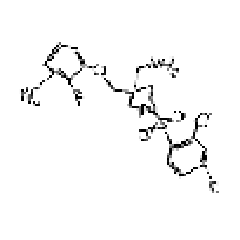 N#Cc1cccc(OCC2(CN)CN(S(=O)(=O)c3ccc(Cl)cc3Cl)C2)c1F